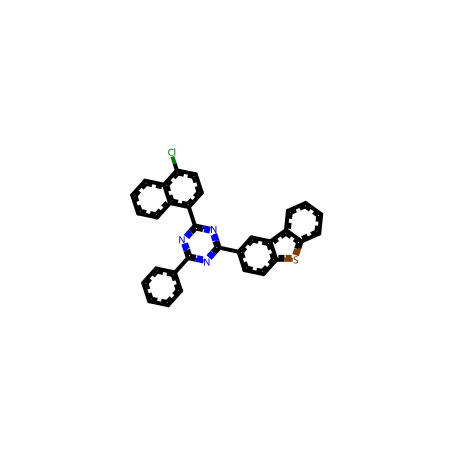 Clc1ccc(-c2nc(-c3ccccc3)nc(-c3ccc4sc5ccccc5c4c3)n2)c2ccccc12